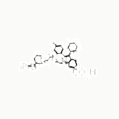 Cc1ccc2c(c1)N(CCN1CCCC(OC(C)C)C1)CCn1c-2c(C2CCCCC2)c2ccc(C(=O)O)cc21